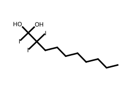 CCCCCCCCC(I)(I)C(O)(O)I